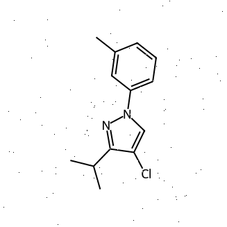 Cc1cccc(-n2cc(Cl)c(C(C)C)n2)c1